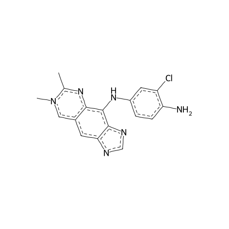 Cc1nc2c(Nc3ccc(N)c(Cl)c3)c3ncnc3cc2cn1C